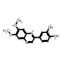 COc1cc2ncc(-c3ccc(O)c(O)c3)nc2cc1OC